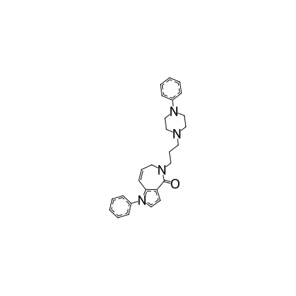 O=C1c2ccn(-c3ccccc3)c2C=CCN1CCCN1CCN(c2ccccc2)CC1